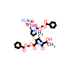 C[C@H]1C(S[C@H]2C[C@@H](CNS(N)(=O)=O)N(C(=O)OCOC(=O)c3ccccc3)C2)=C(C(=O)OCOC(=O)c2ccccc2)N2C(=O)[C@H]([C@@H](C)O)C12